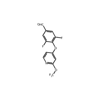 O=Cc1cc(F)c(Oc2ccnc(OC(F)(F)F)c2)c(F)c1